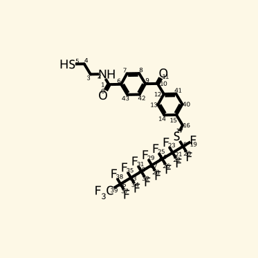 O=C(NCCS)c1ccc(C(=O)c2ccc(CSC(F)(F)C(F)(F)C(F)(F)C(F)(F)C(F)(F)C(F)(F)C(F)(F)C(F)(F)F)cc2)cc1